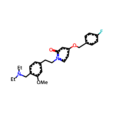 CCN(CC)Cc1ccc(CCn2ccc(OCc3ccc(F)cc3)cc2=O)cc1OC